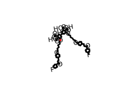 O=C(/C=C/c1ccc(OCCCCCCOc2cc(-c3cc(OCCCCCCOc4ccc(/C=C/C(=O)c5ccc(F)cc5)cc4)c(C(=O)O)c(C(=O)O)c3)cc(C(=O)O)c2C(=O)O)cc1)c1ccc(F)cc1